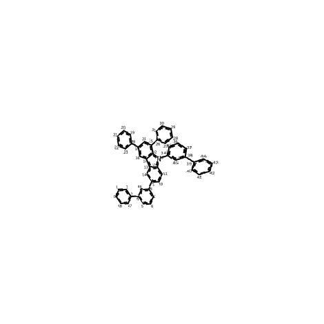 c1ccc(-c2cccc(-c3ccc4c(c3)c3cc(-c5ccccc5)cc(-c5ccccc5)c3n4-c3cccc(-c4ccccc4)c3)c2)cc1